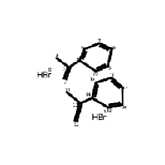 Br.Br.C=C(C)c1ccccc1.C=C(C)c1ccccc1